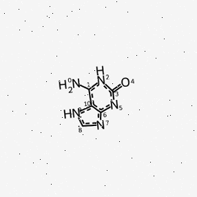 Nc1[nH]c(=O)nc2n[c][nH]c12